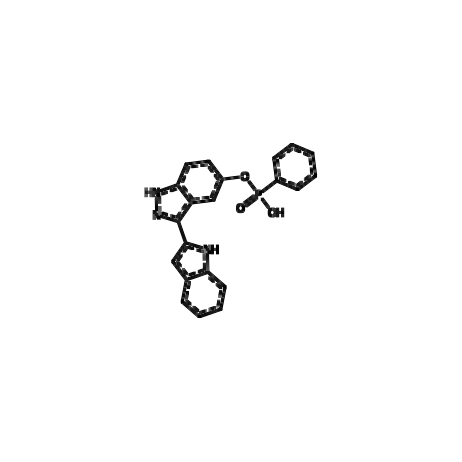 O=P(O)(Oc1ccc2[nH]nc(-c3cc4ccccc4[nH]3)c2c1)c1ccccc1